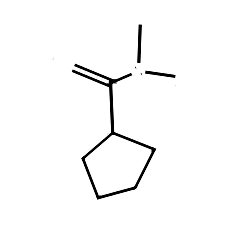 CN(C)C(=O)C1C[CH]CC1